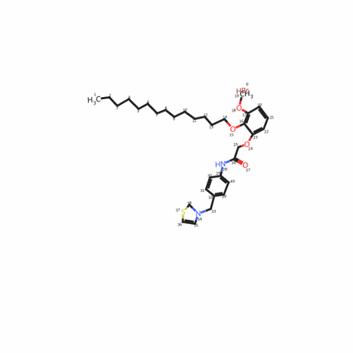 Br.CCCCCCCCCCCCCCOc1c(OC)cccc1OCC(=O)Nc1ccc(CN2C=CSC2)cc1